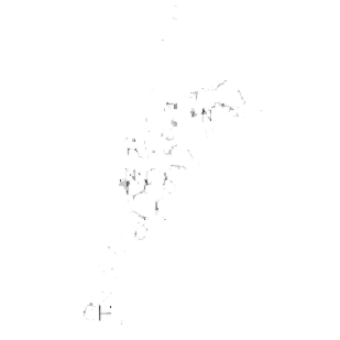 CCCCCCCCCC(CCC(OC)C(C(=O)c1ccccc1)n1nnc2cc(OCCCCCCCC)ccc21)OC(=O)CC(=O)Nc1ccccc1